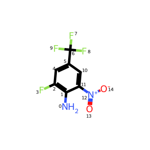 Nc1c(F)cc(C(F)(F)F)cc1[N+](=O)[O-]